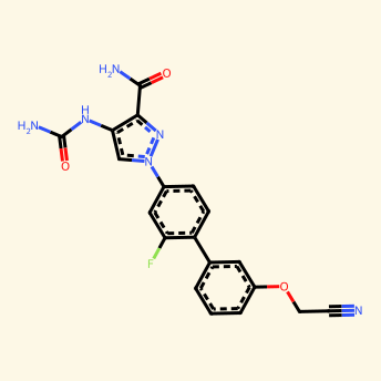 N#CCOc1cccc(-c2ccc(-n3cc(NC(N)=O)c(C(N)=O)n3)cc2F)c1